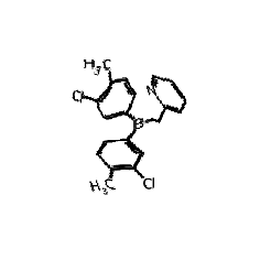 Cc1ccc(B(Cc2ccccn2)c2ccc(C)c(Cl)c2)cc1Cl